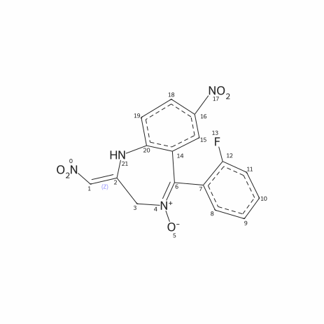 O=[N+]([O-])/C=C1/C[N+]([O-])=C(c2ccccc2F)c2cc([N+](=O)[O-])ccc2N1